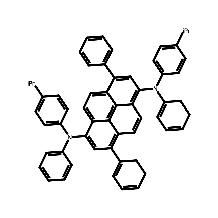 CC(C)c1ccc(N(C2=CC=CCC2)c2cc(-c3ccccc3)c3ccc4c(N(c5ccccc5)c5ccc(C(C)C)cc5)cc(C5=CC=CCC5)c5ccc2c3c54)cc1